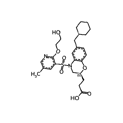 Cc1cnc(OCCO)c(S(=O)(=O)N2C[C@H](CCC(=O)O)Oc3ccc(CC4CCCCC4)cc32)c1